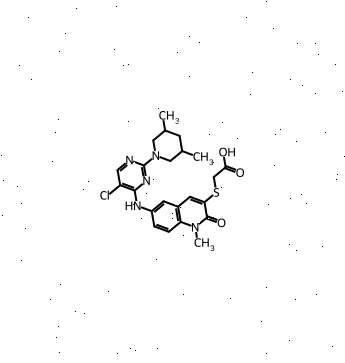 CC1CC(C)CN(c2ncc(Cl)c(Nc3ccc4c(c3)cc(SCC(=O)O)c(=O)n4C)n2)C1